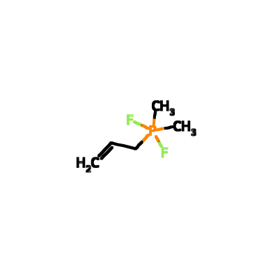 C=CCP(C)(C)(F)F